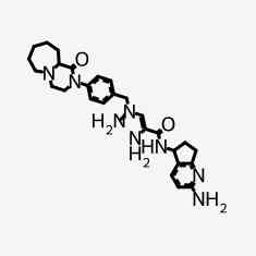 N/C(=C\N(N)Cc1ccc(N2CCN3CCCCCC3C2=O)cc1)C(=O)NC1CCc2nc(N)ccc21